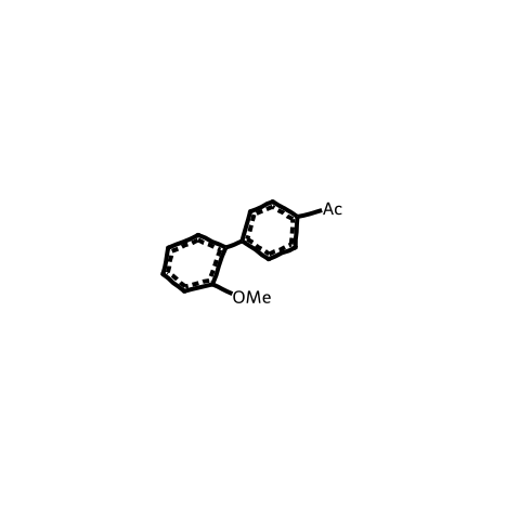 COc1ccccc1-c1ccc(C(C)=O)cc1